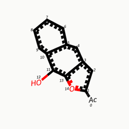 CC(=O)c1cc2[c]c3ccccc3c(O)c2o1